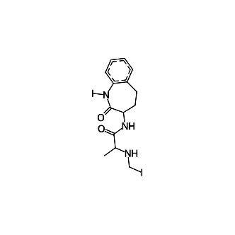 CC(NCI)C(=O)NC1CCc2ccccc2N(I)C1=O